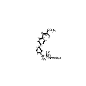 CCCCCCCNC(=O)N(CCC)c1cccc(-c2ccc(C=C(C)C(=O)O)cc2)c1